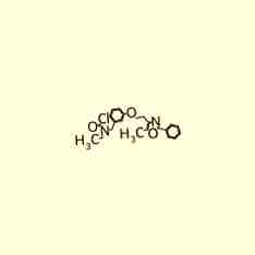 CCN(Cc1cccc(OCCc2nc(-c3ccccc3)oc2C)c1)C(=O)Cl